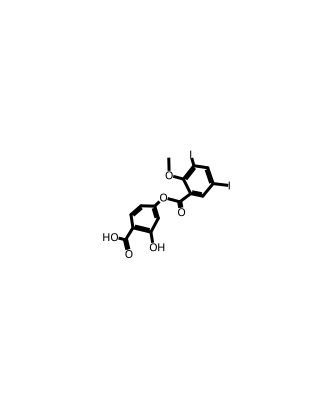 COc1c(I)cc(I)cc1C(=O)Oc1ccc(C(=O)O)c(O)c1